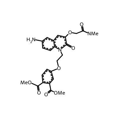 CNC(=O)COc1cc2cc(N)ccc2n(CCOc2ccc(C(=O)OC)c(C(=O)OC)c2)c1=O